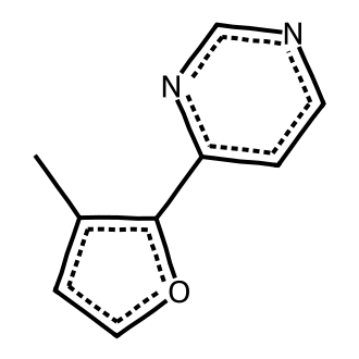 Cc1ccoc1-c1ccncn1